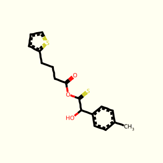 Cc1ccc(C(O)C(=S)OC(=O)CCCc2cccs2)cc1